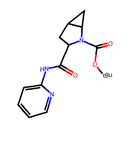 CC(C)(C)OC(=O)N1C(C(=O)Nc2ccccn2)CC2CC21